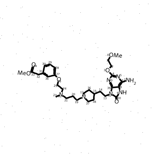 COCCOc1nc(N)c2[nH]c(=O)n(CCC3CCN(CCCN(C)CCOc4cccc(CC(=O)OC)c4)CC3)c2n1